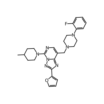 CC1CCN(c2ncc(CN3CCN(c4ccccc4F)CC3)c3nc(-c4ccco4)nn23)CC1